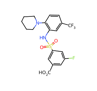 O=C(O)c1cc(F)cc(S(=O)(=O)Nc2cc(C(F)(F)F)ccc2N2CCCCC2)c1